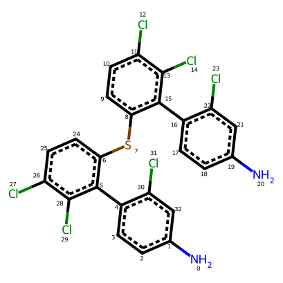 Nc1ccc(-c2c(Sc3ccc(Cl)c(Cl)c3-c3ccc(N)cc3Cl)ccc(Cl)c2Cl)c(Cl)c1